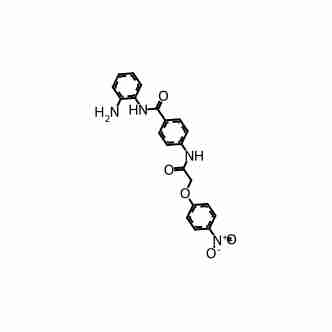 Nc1ccccc1NC(=O)c1ccc(NC(=O)COc2ccc([N+](=O)[O-])cc2)cc1